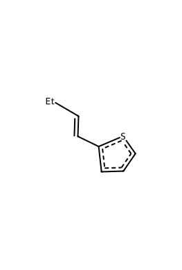 CCC=Cc1cccs1